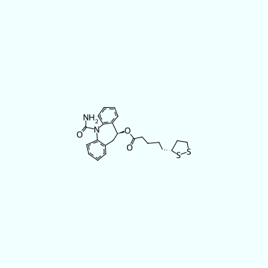 NC(=O)N1c2ccccc2C[C@H](OC(=O)CCCC[C@@H]2CCSS2)c2ccccc21